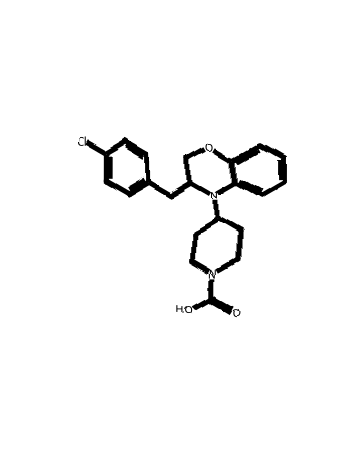 O=C(O)N1CCC(N2c3ccccc3OCC2Cc2ccc(Cl)cc2)CC1